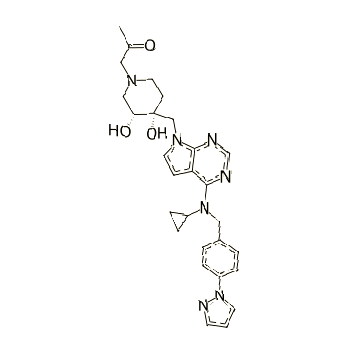 CC(=O)CN1CC[C@@](O)(Cn2ccc3c(N(Cc4ccc(-n5cccn5)cc4)C4CC4)ncnc32)[C@H](O)C1